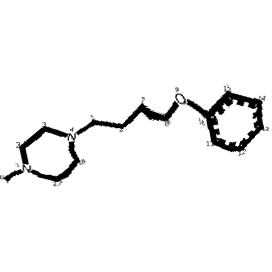 CN1CCN(CCCCOc2ccccc2)CC1